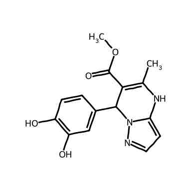 COC(=O)C1=C(C)Nc2ccnn2C1c1ccc(O)c(O)c1